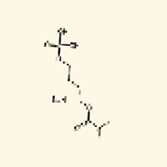 C=C(C)C(=O)OCCCCOP(=O)(O)O.[NaH]